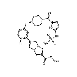 CC(C)(C)OC(=O)N1CC2CN(c3cc(CN4CCN(C(=O)n5ccc(NS(C)(=O)=O)n5)CC4)ccc3Cl)CC2C1